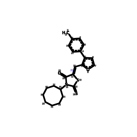 Cc1ccc(-c2ccoc2/C=C2\SC(=S)N(C3CCCCCCC3)C2=O)cc1